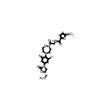 CC(=O)OC[C@H]1CN(c2cc(F)c(N3CCON(C(=O)CNC(=O)c4ccc([N+](=O)[O-])o4)CC3)c(F)c2)C(=O)O1